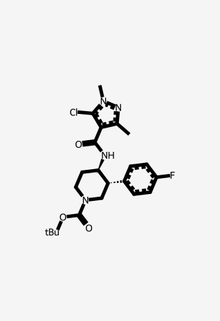 Cc1nn(C)c(Cl)c1C(=O)N[C@@H]1CCN(C(=O)OC(C)(C)C)C[C@H]1c1ccc(F)cc1